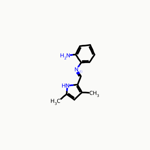 Cc1cc(C)c(/C=N/c2ccccc2N)[nH]1